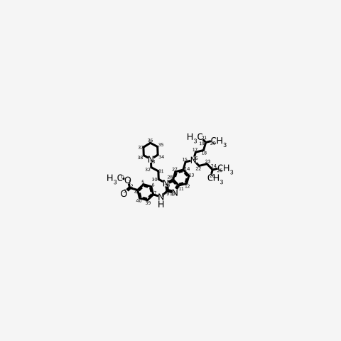 COC(=O)c1ccc(Nc2nc3ccc(CN(CCC(C)C)CCC(C)C)cc3n2CCCN2CCCCC2)cc1